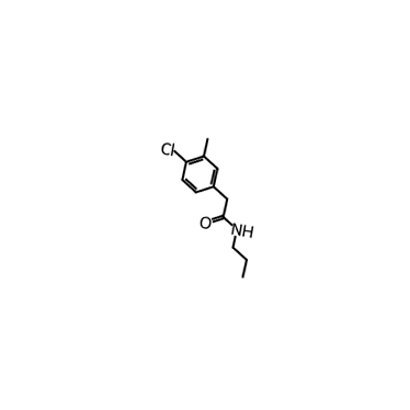 CCCNC(=O)Cc1ccc(Cl)c(C)c1